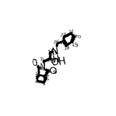 O=C1c2ccccc2C(=O)N1CC(O)CNCc1ccccc1